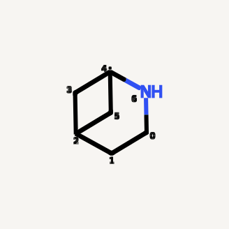 C1CC2C[C](C2)N1